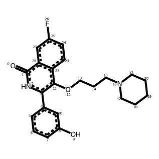 O=c1[nH]c(-c2cccc(O)c2)c(OCCCN2CCCCC2)c2ccc(F)cc12